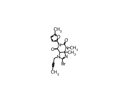 CC#CCN1C(Br)=NC2(C)C1C(=O)N(c1ccc(C)o1)C(=O)N2C